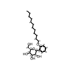 CCCCCCCCCCCCOc1ccccc1[C]1O[C@H](CO)[C@H](O)[C@H](O)[C@H]1O